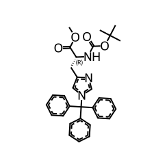 COC(=O)[C@@H](Cc1cn(C(c2ccccc2)(c2ccccc2)c2ccccc2)cn1)NC(=O)OC(C)(C)C